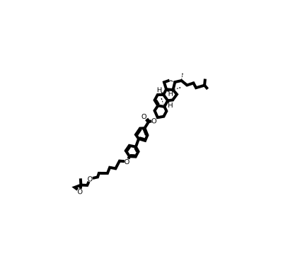 CC(C)CCC[C@@H](C)[C@H]1CC[C@H]2[C@@H]3CC=C4C[C@@H](OC(=O)c5ccc(-c6ccc(OCCCCCCOCC7(C)CO7)cc6)cc5)CC[C@]4(C)[C@H]3CC[C@]12C